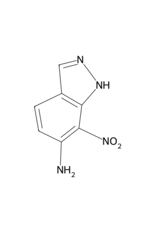 Nc1ccc2cn[nH]c2c1[N+](=O)[O-]